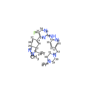 CC(C)c1c2cc(-c3nc(Nc4ccc(CN5CCN(C(C)C)CC5)cn4)ncc3F)ccc2nn1C